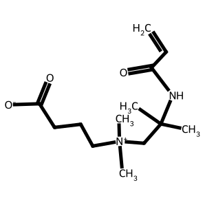 C=CC(=O)NC(C)(C)C[N+](C)(C)CCCC(=O)[O-]